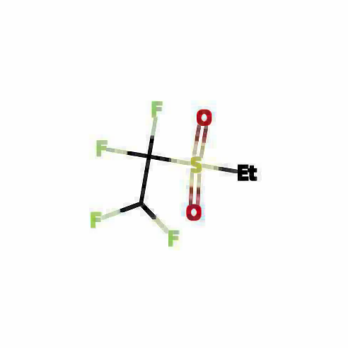 CCS(=O)(=O)C(F)(F)C(F)F